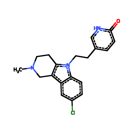 CN1CCc2c(c3cc(Cl)ccc3n2CCc2ccc(=O)[nH]c2)C1